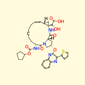 O=C(N[C@@H]1CCCCC/C=C\[C@@H]2C[C@]2(C(O)C(=O)O)NC(=O)[C@@H]2C[C@H](Oc3nc4ccccc4nc3-c3cccs3)CN2C1=O)OC1CCCC1